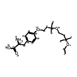 CCOC(C)(C)CCOC(C)(C)CCOc1ccc(CC(N)C(=O)O)cc1